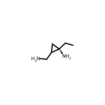 CC[C@@]1(N)CC1CN